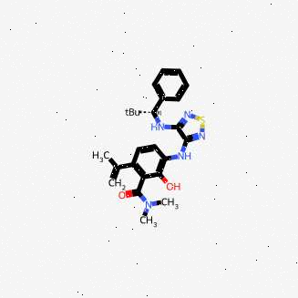 C=C(C)c1ccc(Nc2nsnc2N[C@@H](c2ccccc2)C(C)(C)C)c(O)c1C(=O)N(C)C